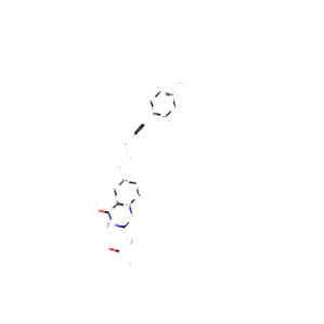 CC(C)(C)C(=O)Nc1nc2ccc(CNCC#Cc3ccc([N+](=O)[O-])cc3)cc2c(=O)[nH]1